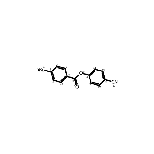 CCCCc1ccc(C(=O)Oc2ccc(C#N)cc2)cc1